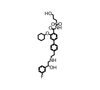 O=C(NS(=O)(=O)CCCO)c1ccc(-c2ccc(CCNC[C@@H](O)c3cccc(F)c3)cc2)cc1OC1CCCCC1